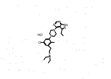 CCc1n[nH]c2ncnc(N3CCN(c4cc(Cl)cc(CCCN(CC)CC)c4C)CC3)c12.Cl